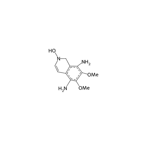 COc1c(N)c2c(c(N)c1OC)CN(O)C=C2